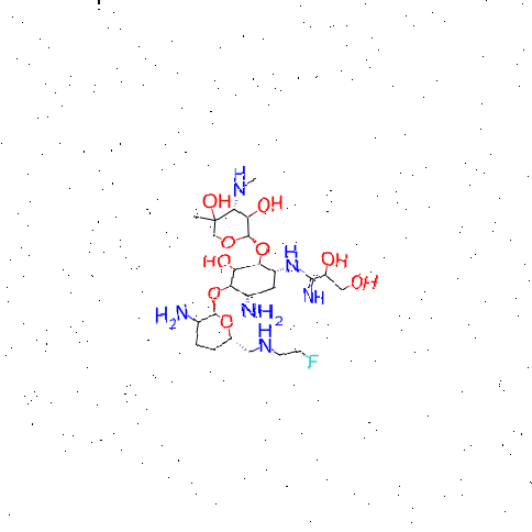 CN[C@@H]1C(O)[C@@H](OC2C(O)C(O[C@H]3O[C@H](CNCCF)CCC3N)[C@@H](N)C[C@H]2NC(=N)C(O)CO)OCC1(C)O